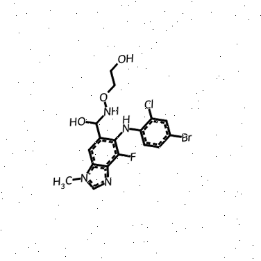 Cn1cnc2c(F)c(Nc3ccc(Br)cc3Cl)c(C(O)NOCCO)cc21